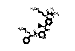 CCOC[C@@H](NC(=O)[C@@H]1CNC[C@H](C(=O)N(c2ccc3c(c2)N(CCCOC)C(=O)C(C)(C)O3)C2CC2)C1)C1CCCCC1